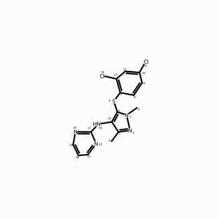 Cc1nn(C)c(Sc2ccc(Cl)cc2Cl)c1Nc1ncccn1